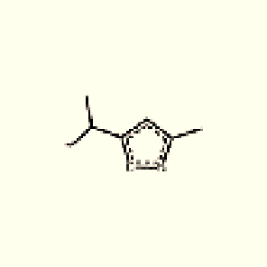 Cc1cc(C(C)F)on1